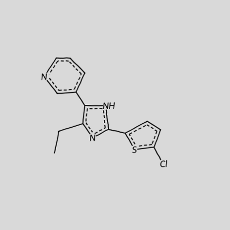 CCc1nc(-c2ccc(Cl)s2)[nH]c1-c1cccnc1